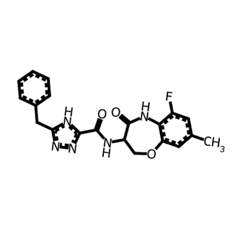 Cc1cc(F)c2c(c1)OCC(NC(=O)c1nnc(Cc3ccccc3)[nH]1)C(=O)N2